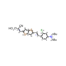 CCCCN(CCCC)c1ccc(/C=C/c2cc3sc(/C=C(\C#N)C(=O)O)cc3s2)c(F)c1